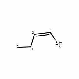 CC/C=C\S